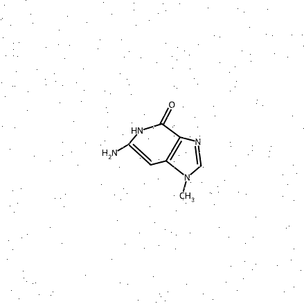 Cn1cnc2c(=O)[nH]c(N)cc21